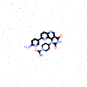 CC(C)C(=O)N1CCC(n2c(=O)[nH]c(=O)c3cnc4ccc(-c5ccc(N)nc5)nc4c32)CC1